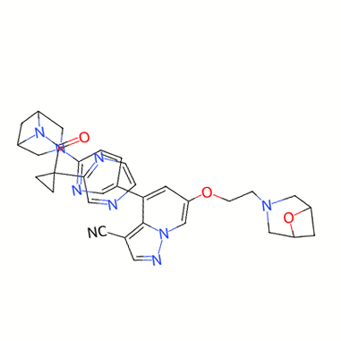 N#Cc1cnn2cc(OCCN3CC4CC(C3)O4)cc(-c3ccc(N4CC5CC(C4)N5C(=O)C4(c5cnccn5)CC4)nc3)c12